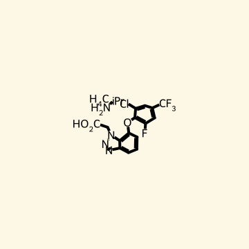 C.CC(C)N.O=C(O)Cn1nnc2cccc(Oc3c(F)cc(C(F)(F)F)cc3Cl)c21